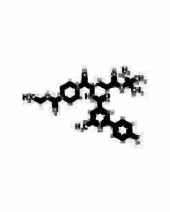 CCOC(=O)N1CCN(C(=O)[C@H](CCC(=O)OC(C)(C)C)NC(=O)c2cc(C)nc(-c3ccc(F)cc3)n2)CC1